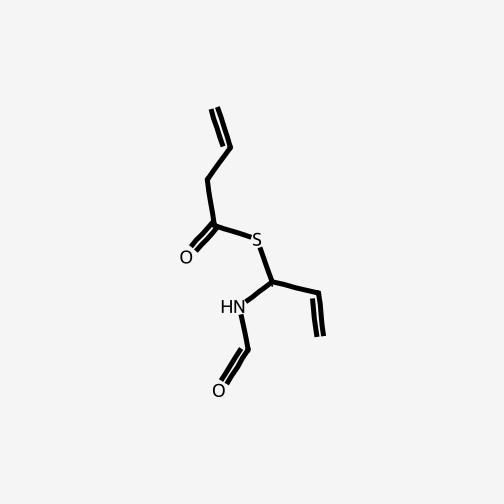 C=CCC(=O)S[C](C=C)NC=O